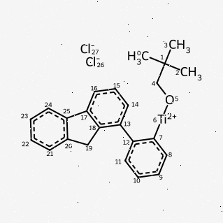 CC(C)(C)C[O][Ti+2][c]1ccccc1-c1cccc2c1Cc1ccccc1-2.[Cl-].[Cl-]